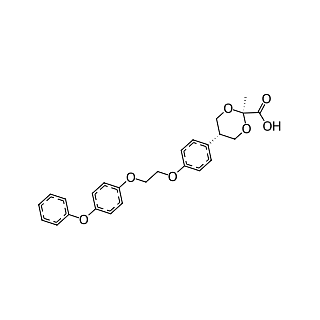 C[C@]1(C(=O)O)OC[C@H](c2ccc(OCCOc3ccc(Oc4ccccc4)cc3)cc2)CO1